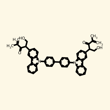 C=C(C)C(=O)C(CO)c1ccc2c(c1)c1ccccc1n2-c1ccc(-c2ccc(-n3c4ccccc4c4cc(C(CO)C(=O)C(=C)C)ccc43)cc2)cc1